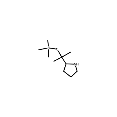 CC(C)(O[Si](C)(C)C)C1CCCN1